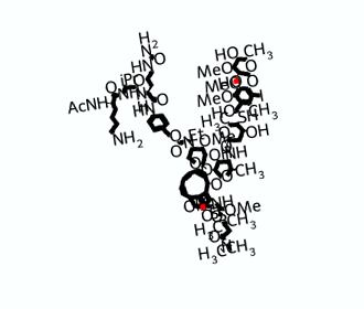 CCN(C(=O)OCc1ccc(NC(=O)[C@H](CCCNC(N)=O)NC(=O)[C@@H](NC(=O)[C@H](CCCCN)NC(C)=O)C(C)C)cc1)[C@H]1CO[C@@H](O[C@H]2[C@H](O[C@H]3C#CC=CC#C[C@]4(O)CC(=O)C(NC(=O)OC)=C3/C4=C\CSSC(C)(C)CC(=O)N(C)C)O[C@H](C)[C@@H](NO[C@H]3C[C@H](O)[C@H]([SH]=C(O)c4c(C)c(I)c(O[C@@H]5O[C@@H](C)[C@H](O)[C@@H](OC)[C@H]5O)c(OC)c4OC)[C@@H](C)O3)[C@@H]2O)C[C@@H]1OC